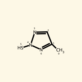 Cc1cnn(S)n1